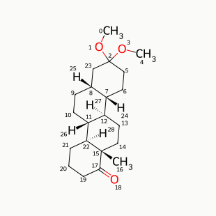 COC1(OC)CC[C@H]2[C@H](CC[C@@H]3[C@@H]2CC[C@]2(C)C(=O)CCC[C@@H]32)C1